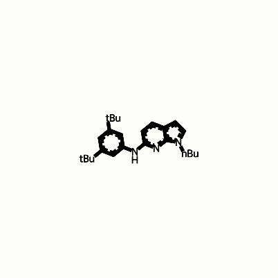 CCCCn1ccc2ccc(Nc3cc(C(C)(C)C)cc(C(C)(C)C)c3)nc21